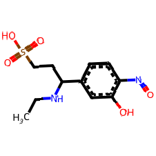 CCNC(CCS(=O)(=O)O)c1ccc(N=O)c(O)c1